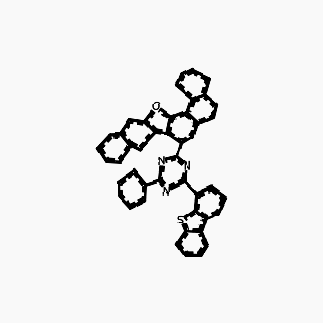 c1ccc(-c2nc(-c3cccc4c3sc3ccccc34)nc(-c3cc4ccc5ccccc5c4c4oc5cc6ccccc6cc5c34)n2)cc1